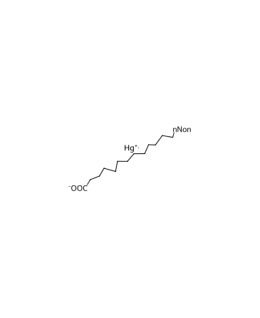 CCCCCCCCCCCCCCCCCCCCCC(=O)[O-].[Hg+]